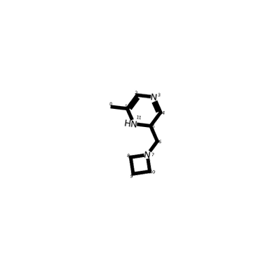 CC1=CN=CC(CN2CCC2)N1